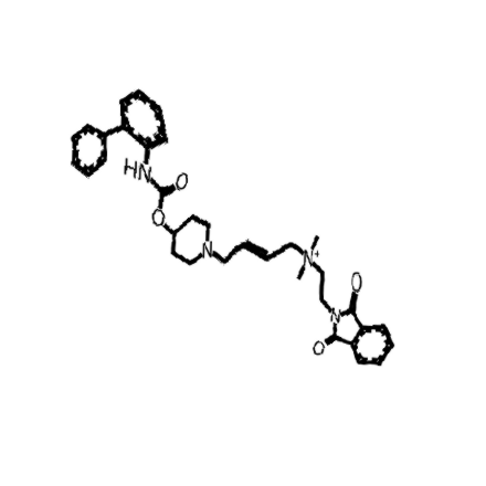 C[N+](C)(C/C=C/CN1CCC(OC(=O)Nc2ccccc2-c2ccccc2)CC1)CCN1C(=O)c2ccccc2C1=O